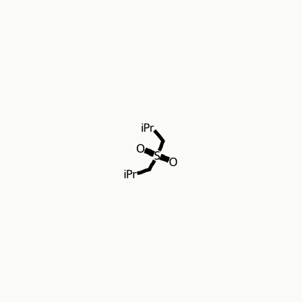 CC(C)CS(=O)(=O)CC(C)C